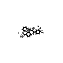 COc1ccc(C(Nc2ccc(C(=N)N)cc2)C(=O)NNc2ccccn2)cc1OC